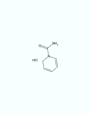 Cl.NC(=O)N1C=CC=CC1